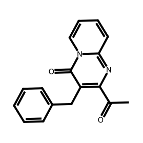 CC(=O)c1nc2ccccn2c(=O)c1Cc1ccccc1